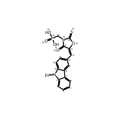 CCn1c2ccccc2c2cc(/C=C3/OC(=S)N(CP(=O)(O)O)C3=O)ccc21